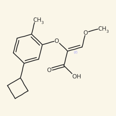 CO/C=C(\Oc1cc(C2CCC2)ccc1C)C(=O)O